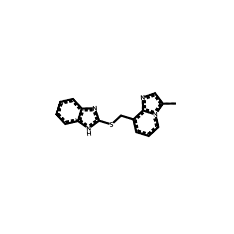 Cc1cnc2c(CSc3nc4ccccc4[nH]3)cccn12